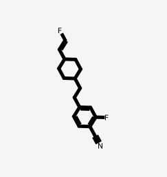 N#Cc1ccc(CCC2CCC(C=CF)CC2)cc1F